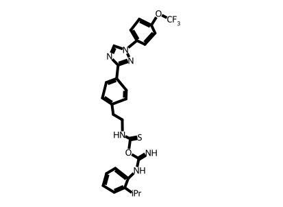 CC(C)c1ccccc1NC(=N)OC(=S)NCCc1ccc(-c2ncn(-c3ccc(OC(F)(F)F)cc3)n2)cc1